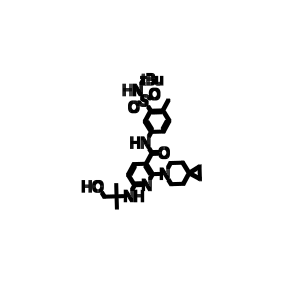 Cc1ccc(NC(=O)c2ccc(NC(C)(C)CO)nc2N2CCC3(CC2)CC3)cc1S(=O)(=O)NC(C)(C)C